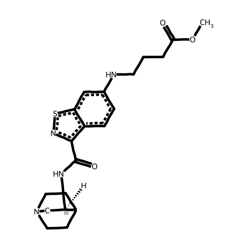 COC(=O)CCCNc1ccc2c(C(=O)N[C@@H]3CN4CCC3CC4)nsc2c1